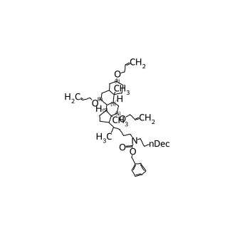 C=CCO[C@@H]1CCC2(C)C(C1)C[C@@H](OCC=C)C1[C@@H]2C[C@H](OCC=C)C2(C)C(C(C)CCCN(CCCCCCCCCCCC)C(=O)OCc3ccccc3)CC[C@@H]12